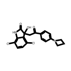 O=C(CC1(O)C(=O)Nc2c(Cl)ccc(Cl)c21)c1ccc(N2CCC2)cc1